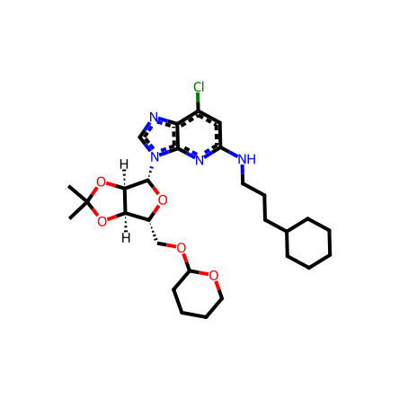 CC1(C)O[C@@H]2[C@H](O1)[C@@H](COC1CCCCO1)O[C@H]2n1cnc2c(Cl)cc(NCCCC3CCCCC3)nc21